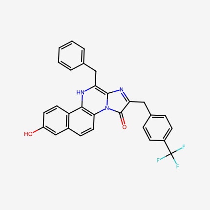 O=c1c(Cc2ccc(C(F)(F)F)cc2)nc2c(Cc3ccccc3)[nH]c3c4ccc(O)cc4ccc3n1-2